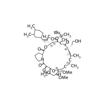 CO[C@H]1CC(C)C2(O)O[C@@H]1[C@@H](OC)C[C@@H](C)C/C(C)=C/[C@@H](CCO)C(=O)CC(O[Si](C)(C)C(C)(C)C)[C@@H](C)[C@@H](/C(C)=C/C1CCC(C)C(C)C1)OC(=O)C1CCCCN1C(=O)C2=O